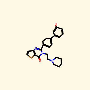 O=c1c2sccc2nc(C2=CC=C(c3cccc(O)c3)CC2)n1CCN1CCCCC1